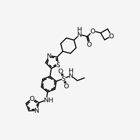 CCNS(=O)(=O)c1cc(Nc2ncco2)ccc1-c1cnc(C2CCC(NC(=O)OC3COC3)CC2)s1